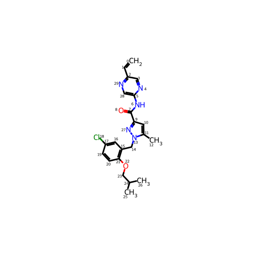 C=Cc1cnc(NC(=O)c2cc(C)n(Cc3cc(Cl)ccc3OCC(C)C)n2)cn1